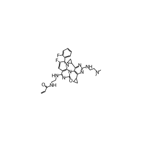 C=CC(=O)NCCNc1nc(=O)n(-c2c(C3CC3)nc(NCCN(C)C)nc2C2CC2)c2nc(-c3ccccc3F)c(F)cc12